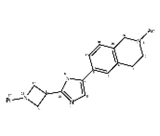 CC(=O)N1CCc2cc(-c3cnc(C4CN(C(C)C)C4)s3)ccc2C1